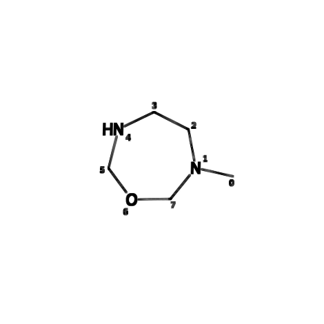 CN1CCNCOC1